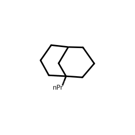 [CH2]CCC12CCCC(CCC1)C2